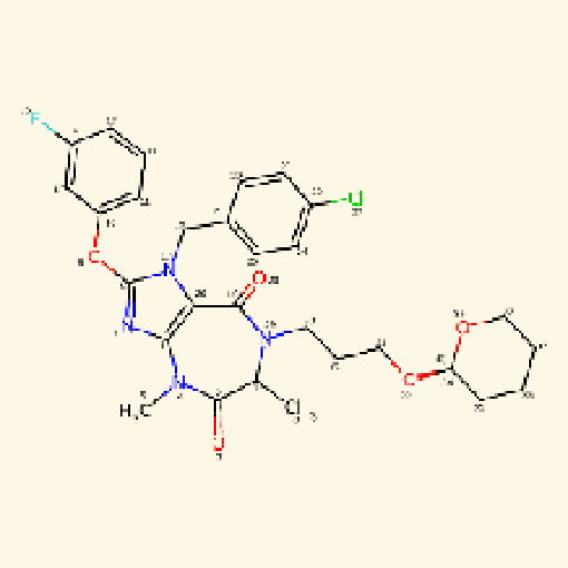 CC1C(=O)N(C)c2nc(Oc3cccc(F)c3)n(Cc3ccc(Cl)cc3)c2C(=O)N1CCCO[C@@H]1CCCCO1